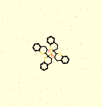 O=S(=O)(C1(C2CCc3ccccc3S2)CCc2ccccc2S1)C1(C2CCc3ccccc3S2)CCc2ccccc2S1